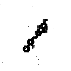 COC1CN=C(Nc2cc(CCc3ccc(-c4ccccc4)c(F)c3)no2)NC1